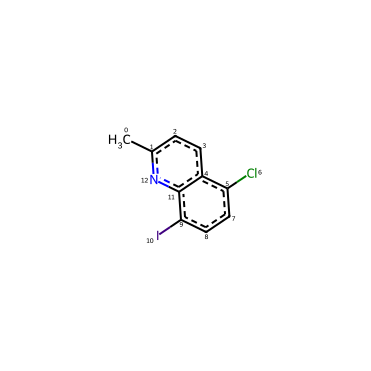 Cc1ccc2c(Cl)ccc(I)c2n1